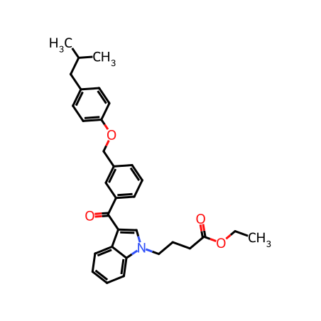 CCOC(=O)CCCn1cc(C(=O)c2cccc(COc3ccc(CC(C)C)cc3)c2)c2ccccc21